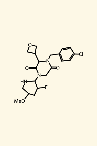 COC1CNC(N2CC(=O)N(Cc3ccc(Cl)cc3)C(C3COC3)C2=O)C(F)C1